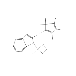 CC1=C(C)C(C)(C)[C]([Zr+2][C]2=Cc3ccccc3C2[Si]2(C)CCC2)=C1C.[Cl-].[Cl-]